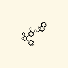 O=C1OCC(c2ccncc2)=C1c1ccc(OCc2ccc3ccccc3n2)c(Cl)c1